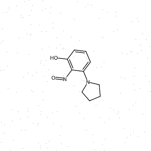 O=Nc1c(O)cccc1N1CCCC1